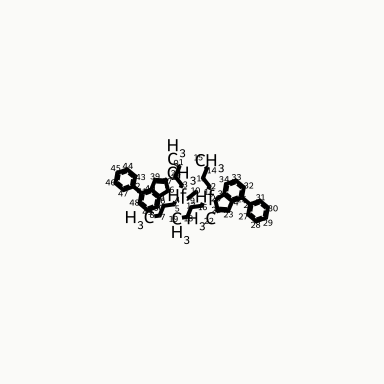 CCC[CH2][Hf]([CH2]CCC)([CH2][CH2][Hf]([CH2]CCC)([CH2]CCC)[CH]1C(C)=Cc2c(-c3ccccc3)cccc21)[CH]1C(C)=Cc2c(-c3ccccc3)cccc21